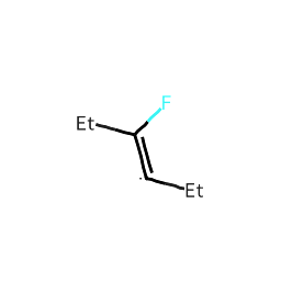 CC/[C]=C(\F)CC